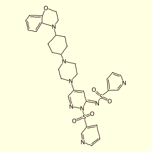 O=S(=O)(N=c1cc(N2CCN(C3CCC(N4CCOc5ccccc54)CC3)CC2)cnn1S(=O)(=O)c1cccnc1)c1cccnc1